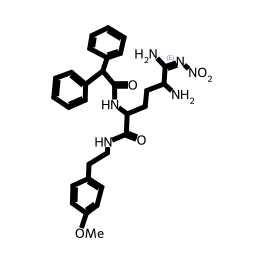 COc1ccc(CCNC(=O)C(CCC(N)/C(N)=N\[N+](=O)[O-])NC(=O)C(c2ccccc2)c2ccccc2)cc1